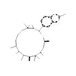 Cc1nc2cc(C3NC(=O)CC(O)C(C)(C)C(=O)C(C)C(O)C(C)CCCC4(C)OC34)ccc2s1